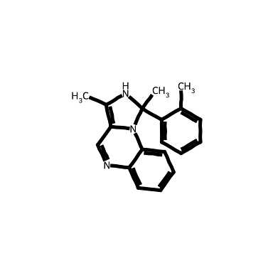 CC1=C2C=Nc3ccccc3N2C(C)(c2ccccc2C)N1